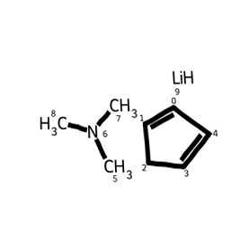 C1=CCC=C1.CN(C)C.[LiH]